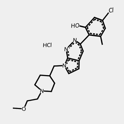 COCCN1CCC(Cn2ccc3cc(-c4c(C)cc(Cl)cc4O)nnc32)CC1.Cl